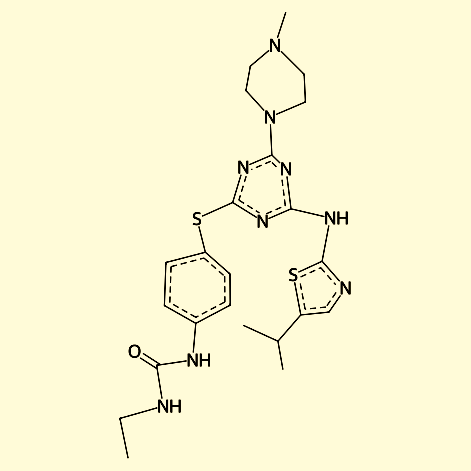 CCNC(=O)Nc1ccc(Sc2nc(Nc3ncc(C(C)C)s3)nc(N3CCN(C)CC3)n2)cc1